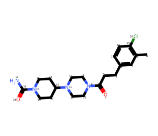 Cc1cc(C[CH]C(=O)N2CCN(C3CCN(C(N)=O)CC3)CC2)ccc1Cl